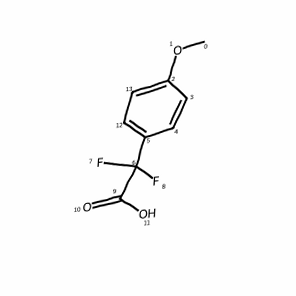 COc1ccc(C(F)(F)C(=O)O)cc1